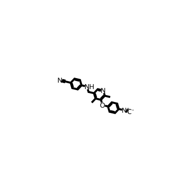 [C-]#[N+]c1ccc(Oc2c(C)ncc(CNc3ccc(C#N)cc3)c2C)cc1